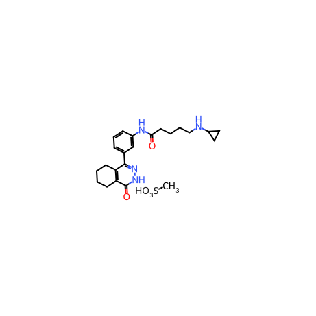 CS(=O)(=O)O.O=C(CCCCNC1CC1)Nc1cccc(-c2n[nH]c(=O)c3c2CCCC3)c1